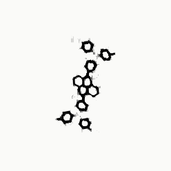 Cc1ccc(N(c2ccc(C(C)C)cc2)c2ccc3c(c2)oc2c4c5c(c6c(oc7cc(N(c8ccc(C)cc8)c8ccc(C(C)C)cc8)ccc76)c6c5c(c23)CCC6)CCC4)cc1